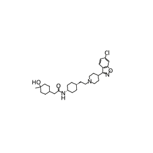 CC1(O)CCC(CC(=O)N[C@H]2CC[C@H](CCN3CCC(c4noc5cc(Cl)ccc45)CC3)CC2)CC1